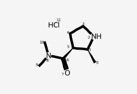 C[C@@H]1NCC[C@@H]1C(=O)N(C)C.Cl